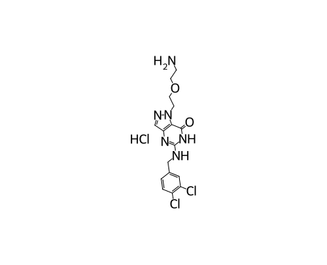 Cl.NCCOCCn1ncc2nc(NCc3ccc(Cl)c(Cl)c3)[nH]c(=O)c21